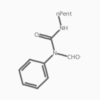 CCCCCNC(=O)N([C]=O)c1ccccc1